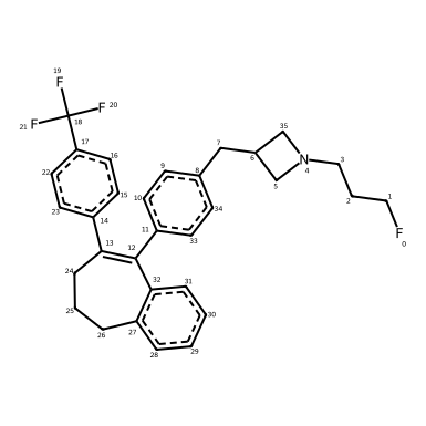 FCCCN1CC(Cc2ccc(C3=C(c4ccc(C(F)(F)F)cc4)CCCc4ccccc43)cc2)C1